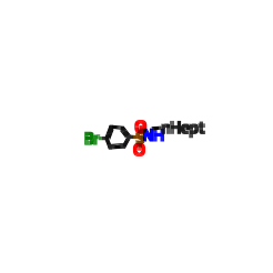 CCCCCCCCNS(=O)(=O)c1ccc(Br)cc1